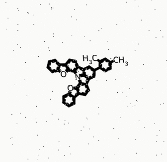 Cc1ccc(-c2cc3c4ccc5c6ccccc6oc5c4n4c3c(c2)c2ccc3c5ccccc5oc3c24)c(C)c1